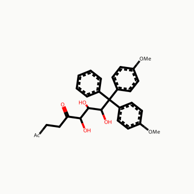 COc1ccc(C(c2ccccc2)(c2ccc(OC)cc2)C(O)C(O)C(O)C(=O)CCC(C)=O)cc1